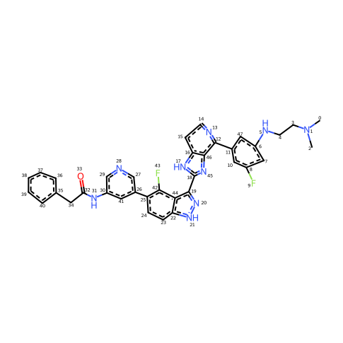 CN(C)CCNc1cc(F)cc(-c2nccc3[nH]c(-c4n[nH]c5ccc(-c6cncc(NC(=O)Cc7ccccc7)c6)c(F)c45)nc23)c1